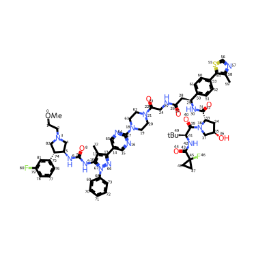 COCCN1C[C@@H](NC(=O)Nc2c(C)c(-c3cnc(N4CCN(C(=O)CNC(=O)C[C@H](NC(=O)[C@@H]5C[C@@H](O)CN5C(=O)[C@@H](NC(=O)C5(F)CC5)C(C)(C)C)c5ccc(-c6scnc6C)cc5)CC4)nc3)nn2-c2ccccc2)[C@H](c2cccc(F)c2)C1